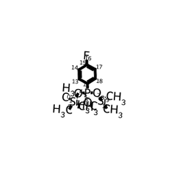 C[Si](C)(C)OP(=O)(O[Si](C)(C)C)c1ccc(F)cc1